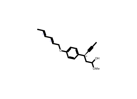 CC#C[C@@H](CC(O)OC)c1ccc(OC/C=C/C=C/C)cc1